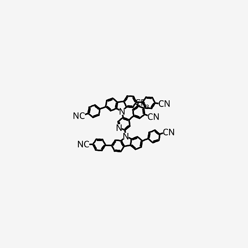 N#Cc1ccc(-c2ccc3c4ccc(-c5ccc(C#N)cc5)cc4n(-c4cc(-c5cc(C#N)cc(C(F)(F)F)c5)c(-n5c6cc(-c7ccc(C#N)cc7)ccc6c6ccc(-c7ccc(C#N)cc7)cc65)cn4)c3c2)cc1